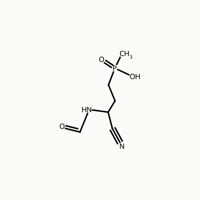 CP(=O)(O)CCC(C#N)NC=O